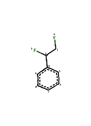 FC[C](F)c1ccccc1